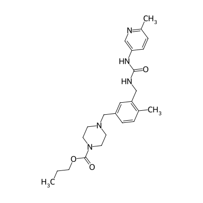 CCCOC(=O)N1CCN(Cc2ccc(C)c(CNC(=O)Nc3ccc(C)nc3)c2)CC1